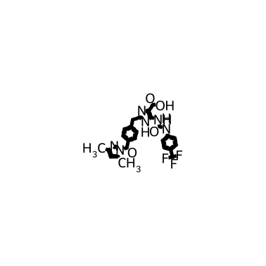 Cc1cc(C)n(C(=O)c2ccc(Cc3nc(C(=O)O)c(NC(=O)Nc4ccc(C(F)(F)F)cc4)[nH]3)cc2)n1